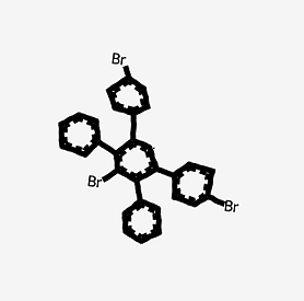 Brc1ccc(-c2[c]c(-c3ccc(Br)cc3)c(-c3ccccc3)c(Br)c2-c2ccccc2)cc1